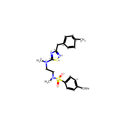 COc1ccc(S(=O)(=O)N(C)CCN(C)c2nc(Cc3ccc(C)cc3)ns2)cc1